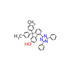 Cc1ccc(C2(c3ccc(C)cc3)c3cc(O)ccc3-c3c(-c4nc(-c5ccccc5)nc(-c5ccccc5)n4)cccc32)cc1